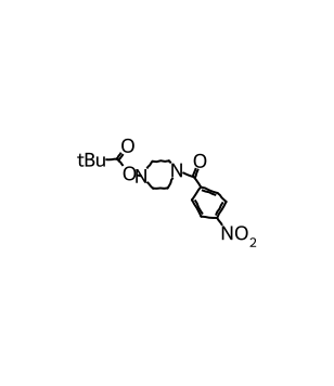 CC(C)(C)C(=O)ON1CCN(C(=O)c2ccc([N+](=O)[O-])cc2)CC1